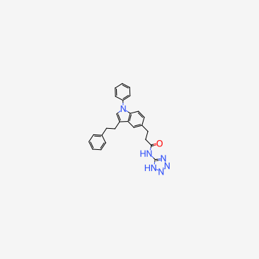 O=C(CCc1ccc2c(c1)c(CCc1ccccc1)cn2-c1ccccc1)Nc1nnn[nH]1